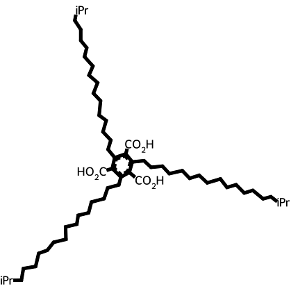 CC(C)CCCCCCCCCCCCCCCc1c(C(=O)O)c(CCCCCCCCCCCCCCCC(C)C)c(C(=O)O)c(CCCCCCCCCCCCCCCC(C)C)c1C(=O)O